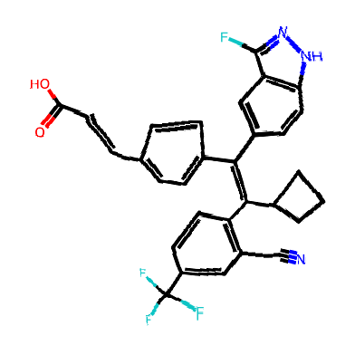 N#Cc1cc(C(F)(F)F)ccc1C(=C(c1ccc(C=CC(=O)O)cc1)c1ccc2[nH]nc(F)c2c1)C1CCC1